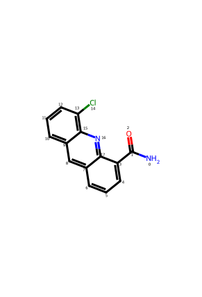 NC(=O)c1cccc2cc3cccc(Cl)c3nc12